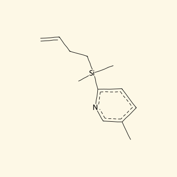 C=CCC[Si](C)(C)c1ccc(C)cn1